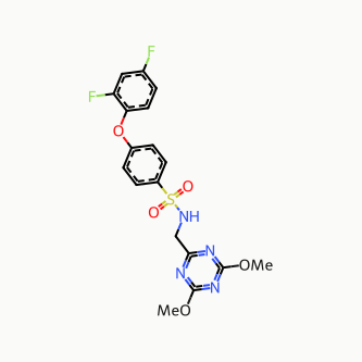 COc1nc(CNS(=O)(=O)c2ccc(Oc3ccc(F)cc3F)cc2)nc(OC)n1